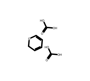 C1=CCOC=C1.O=C(O)O.O=C(O)O